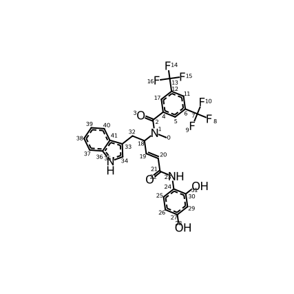 CN(C(=O)c1cc(C(F)(F)F)cc(C(F)(F)F)c1)C(C=CC(=O)Nc1ccc(O)cc1O)Cc1c[nH]c2ccccc12